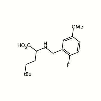 COc1ccc(F)c(CNC(CCC(C)(C)C)C(=O)O)c1